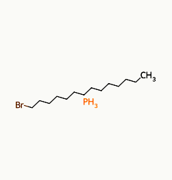 CCCCCCCCCCCCCCBr.P